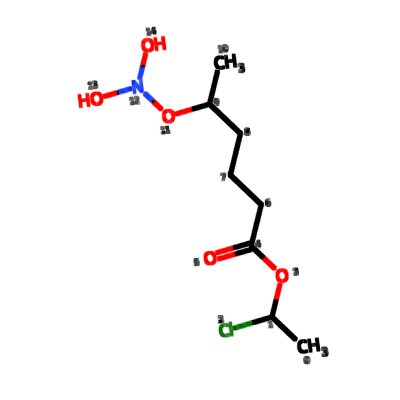 CC(Cl)OC(=O)CCCC(C)ON(O)O